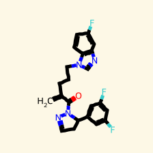 C=C(CCCn1cnc2cc(F)ccc21)C(=O)N1N=CCC1c1cc(F)cc(F)c1